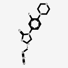 [N-]=[N+]=NC[C@H]1CN(c2ccc(N3CCOCC3)c(F)c2)C(=O)O1